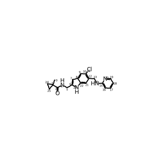 CC1(C(=O)NCc2cc3cc(Cl)c(CNc4ccccn4)cc3[nH]2)CC1